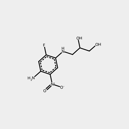 Nc1cc(F)c(NCC(O)CO)cc1[N+](=O)[O-]